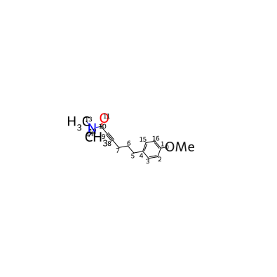 COc1ccc(CCCC#CC(=O)N(C)C)cc1